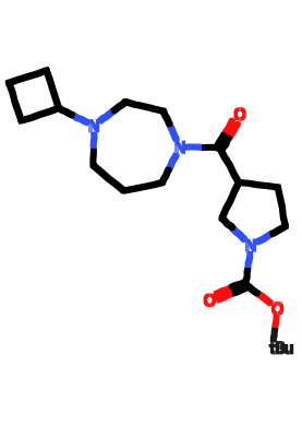 CC(C)(C)OC(=O)N1CCC(C(=O)N2CCCN(C3CCC3)CC2)C1